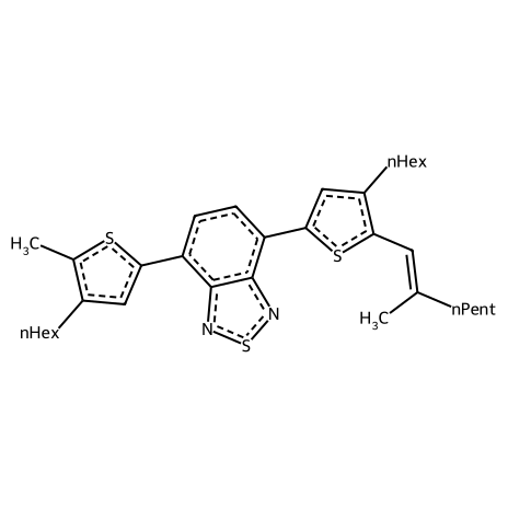 CCCCCCc1cc(-c2ccc(-c3cc(CCCCCC)c(C=C(C)CCCCC)s3)c3nsnc23)sc1C